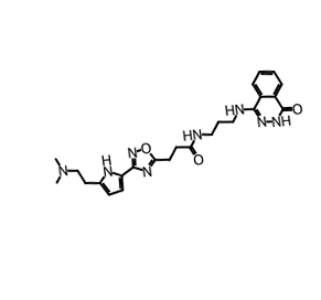 CN(C)CCc1ccc(-c2noc(CCC(=O)NCCCNc3n[nH]c(=O)c4ccccc34)n2)[nH]1